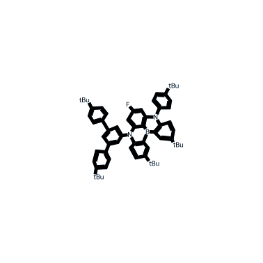 CC(C)(C)c1ccc(-c2cc(-c3ccc(C(C)(C)C)cc3)cc(N3c4ccc(C(C)(C)C)cc4B4c5cc(C(C)(C)C)ccc5N(c5ccc(C(C)(C)C)cc5)c5cc(F)cc3c54)c2)cc1